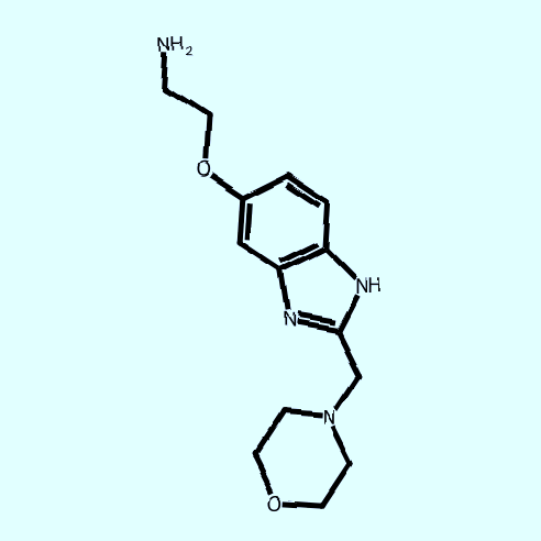 NCCOc1ccc2[nH]c(CN3CCOCC3)nc2c1